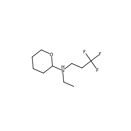 CC[SiH](CCC(F)(F)F)C1CCCCO1